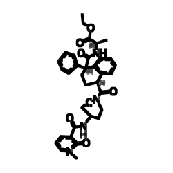 CCOC(=O)[C@@H](C)NC(=O)[C@@]1(c2ccccc2)CC[C@H](C(=O)N2CCC(NC(=O)c3cccn(C)c3=O)CC2)c2ccccc21